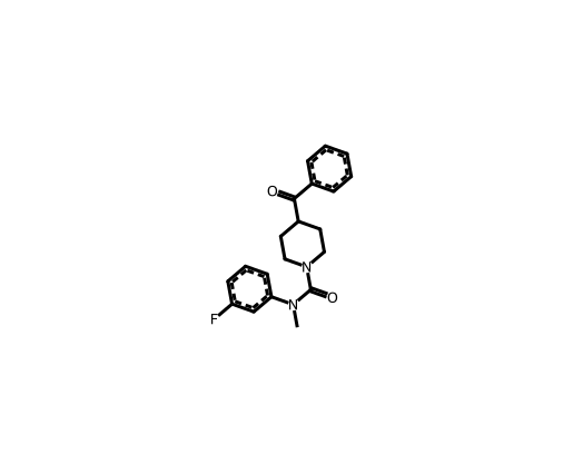 CN(C(=O)N1CCC(C(=O)c2ccccc2)CC1)c1cccc(F)c1